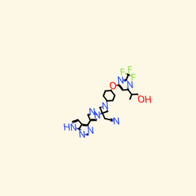 CC(CO)c1cc(OC2CCC(N3CC(CC#N)(n4cc(-c5ncnc6[nH]ccc56)cn4)C3)CC2)nc(C(F)(F)F)n1